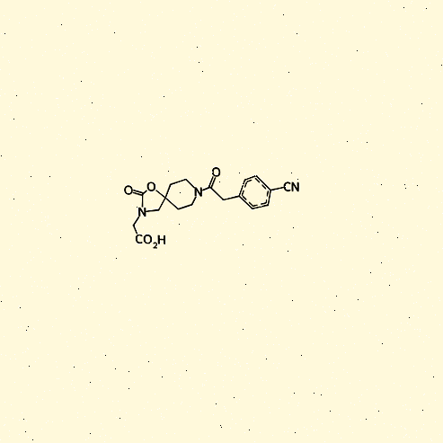 N#Cc1ccc(CC(=O)N2CCC3(CC2)CN(CC(=O)O)C(=O)O3)cc1